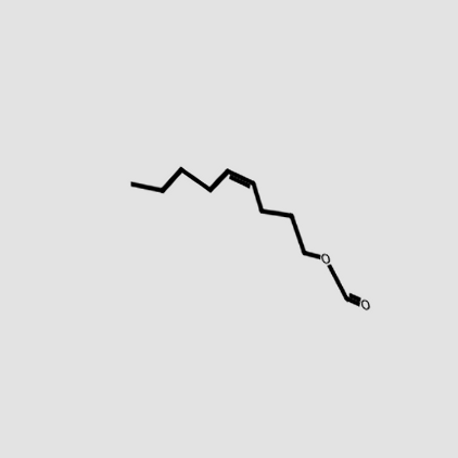 CCCC/C=C\CCCO[C]=O